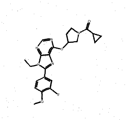 CCn1c(-c2ccc(OC)c(F)c2)nc2c(OC3CCN(C(=O)C4CC4)C3)ncnc21